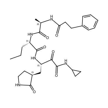 CCC[C@H](NC(=O)[C@@H](C)NC(=O)CCc1ccccc1)C(=O)N[C@@H](C[C@@H]1CCNC1=O)C(=O)C(=O)NC1CC1